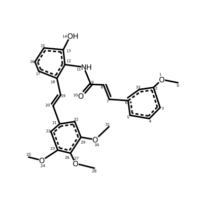 COc1cccc(/C=C/C(=O)Nc2c(O)cccc2/C=C/c2cc(OC)c(OC)c(OC)c2)c1